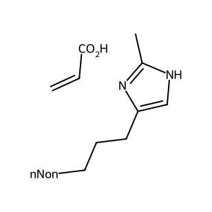 C=CC(=O)O.CCCCCCCCCCCCc1c[nH]c(C)n1